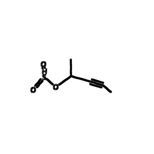 CC#CC(C)O[SH](=O)=O